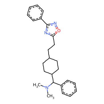 CN(C)C(c1ccccc1)C1CCC(CCc2nc(-c3ccccc3)no2)CC1